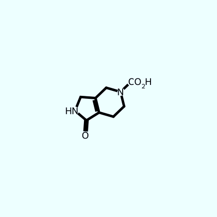 O=C1NCC2=C1CCN(C(=O)O)C2